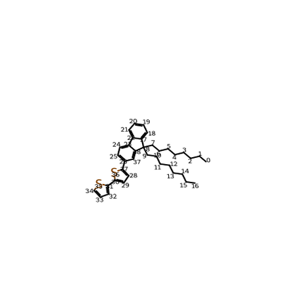 CCCCCCCCC1(CCCCCCCC)c2ccccc2-c2ccc(-c3ccc(-c4cccs4)s3)cc21